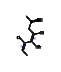 C/C=C(Cl)\C(CCC)=C(\CC)CC(C)=N